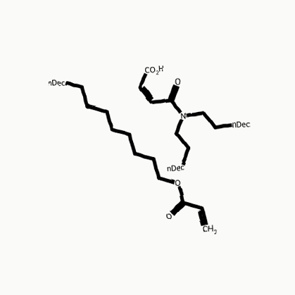 C=CC(=O)OCCCCCCCCCCCCCCCCCC.CCCCCCCCCCCCN(CCCCCCCCCCCC)C(=O)/C=C\C(=O)O